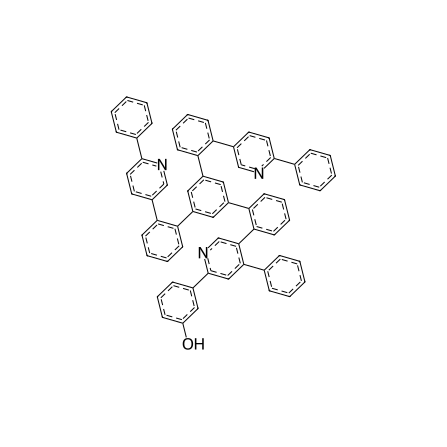 Oc1cccc(-c2cc(-c3ccccc3)c(-c3ccccc3-c3cc(-c4ccccc4-c4ccc(-c5ccccc5)nc4)cc(-c4ccccc4-c4ccc(-c5ccccc5)nc4)c3)cn2)c1